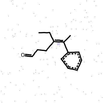 CC/C(CCC=O)=C(\C)c1ccccc1